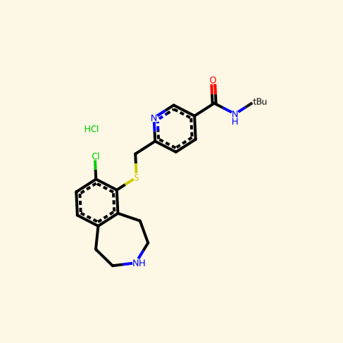 CC(C)(C)NC(=O)c1ccc(CSc2c(Cl)ccc3c2CCNCC3)nc1.Cl